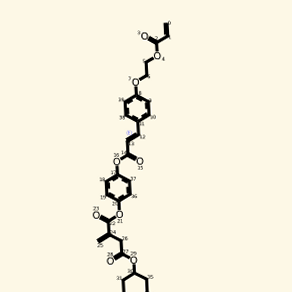 C=CC(=O)OCCOc1ccc(/C=C/C(=O)Oc2ccc(OC(=O)C(=C)CC(=O)OC3CCCCC3)cc2)cc1